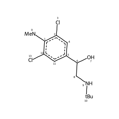 CNc1c(Cl)cc(C(O)CNC(C)(C)C)cc1Cl